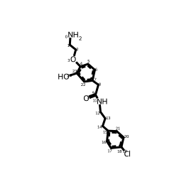 NCCOc1ccc(CC(=O)NCCCc2ccc(Cl)cc2)cc1O